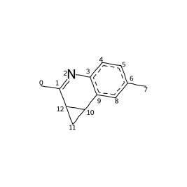 CC1=Nc2ccc(C)cc2C2CC12